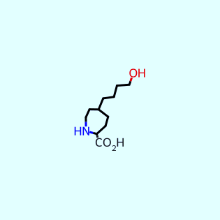 O=C(O)C1CCC(CCCCO)CCN1